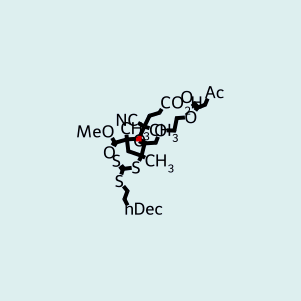 CCCCCCCCCCCCSC(=S)SC(C)(CC(C)(CC(C)(C#N)CCC(=O)O)C(=O)OC)C(=O)COCCOC(=O)CC(C)=O